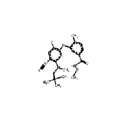 [C-]#[N+]c1cc(F)c(Nc2cc(C(=O)NOC)ccc2C)nc1N(C)CC(C)(C)C